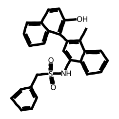 Cc1c(-c2c(O)ccc3ccccc23)cc(NS(=O)(=O)Cc2ccccc2)c2ccccc12